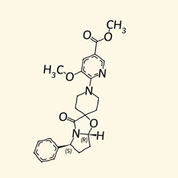 COC(=O)c1cnc(N2CCC3(CC2)O[C@@H]2CC[C@@H](c4ccccc4)N2C3=O)c(OC)c1